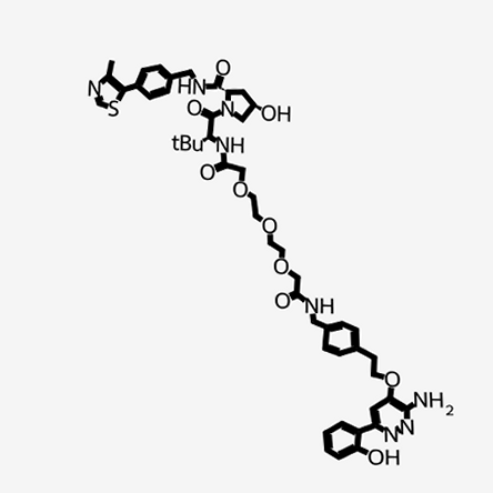 Cc1ncsc1-c1ccc(CNC(=O)[C@@H]2C[C@@H](O)CN2C(=O)[C@@H](NC(=O)COCCOCCOCC(=O)NCc2ccc(CCOc3cc(-c4ccccc4O)nnc3N)cc2)C(C)(C)C)cc1